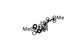 COC(=O)CCC(=O)CNC(=O)C[C@@H]1O[C@@H](c2cccc(OC)c2OC)c2cc(Cl)ccc2NC1=O